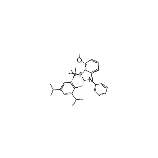 COc1cccc2c1[P@](C(C)(C)C)[C@@H](Cc1c(C(C)C)cc(C(C)C)cc1C(C)C)N2c1ccccc1